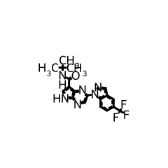 CC(C)(C)NC(=O)c1c[nH]c2ncc(-n3ncc4cc(C(F)(F)F)ccc43)nc12